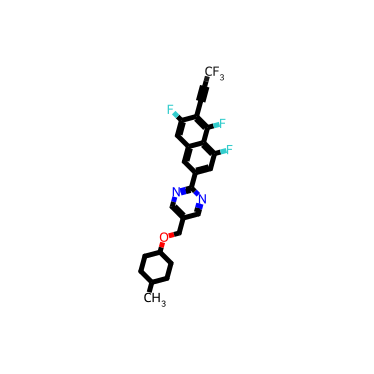 CC1CCC(OCc2cnc(-c3cc(F)c4c(F)c(C#CC(F)(F)F)c(F)cc4c3)nc2)CC1